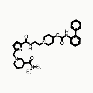 CCN(CC)C(=O)C1CCCN(Cc2ccc(C(=O)NCCN3CCC(OC(=O)Nc4ccccc4-c4ccccc4)CC3)s2)C1